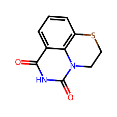 O=c1[nH]c(=O)n2c3c(cccc13)SCC2